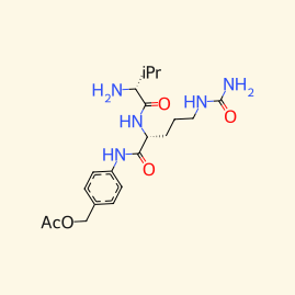 CC(=O)OCc1ccc(NC(=O)[C@@H](CCCNC(N)=O)NC(=O)[C@H](N)C(C)C)cc1